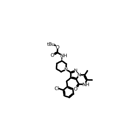 Cc1[nH]c(=O)c2c(Cc3ccccc3Cl)c(N3CCC[C@@H](NC(=O)OC(C)(C)C)C3)nn2c1C